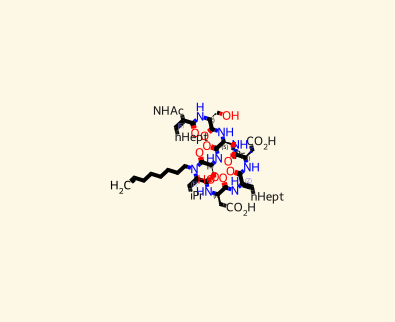 C=CCCCCCCN(C(=O)[C@@H](CO)NC(=O)[C@H](CC(C)C)NC(=O)[C@@H](CO)NC(=O)/C(=C\CCCCCCC)NC(C)=O)/C(=C/C(C)C)C(=O)N[C@H](CC(=O)O)C(=O)N/C(=C\CCCCCCC)C(=O)N[C@H](CC(=O)O)C(N)=O